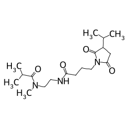 CC(C)C(=O)N(C)CCNC(=O)CCCN1C(=O)CC(C(C)C)C1=O